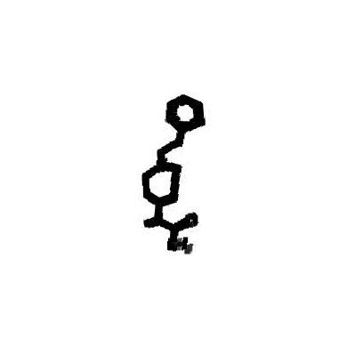 CC(C(N)=O)C1CCN(CCc2ccccc2)CC1